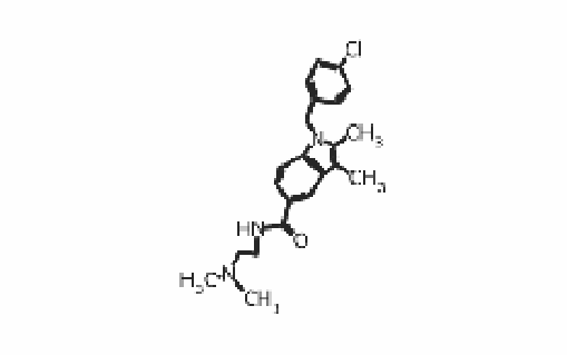 Cc1c(C)n(Cc2ccc(Cl)cc2)c2ccc(C(=O)NCCN(C)C)cc12